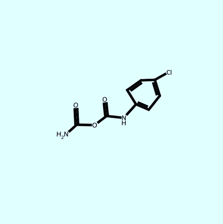 NC(=O)OC(=O)Nc1ccc(Cl)cc1